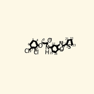 C[C@@H](Oc1cccc(Cl)c1Cl)C(=O)Nc1ccc2oc(-c3cccs3)nc2c1